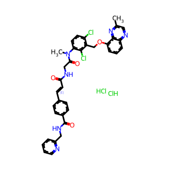 Cc1cnc2cccc(OCc3c(Cl)ccc(N(C)C(=O)CNC(=O)/C=C/c4ccc(C(=O)NCc5ccccn5)cc4)c3Cl)c2n1.Cl.Cl